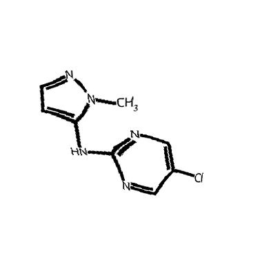 Cn1nccc1Nc1ncc(Cl)cn1